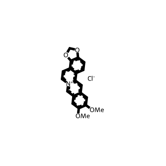 COc1cc2cc3c4ccc5c(c4cc[n+]3cc2cc1OC)OCO5.[Cl-]